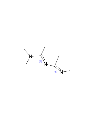 C/N=C(C)/N=C(\C)N(C)C